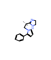 C[C@@H](Cn1cccc1-c1ccccc1)C1=NCCN1